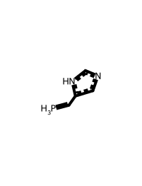 [PH3]=Cc1cnc[nH]1